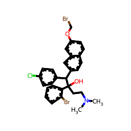 CN(C)CCC(O)(c1ccccc1Br)C(c1ccc(Cl)cc1)c1ccc2ccc(OCBr)cc2c1